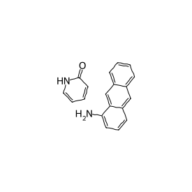 Nc1cccc2cc3ccccc3cc12.O=c1cccc[nH]1